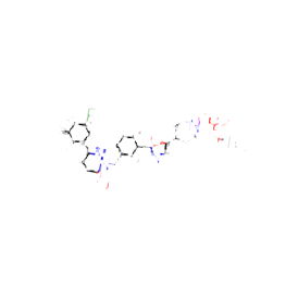 CC(C)(C)OC(=O)ON1CCC(c2cnc(-c3cccc(Cn4nc(-c5cc(F)cc(F)c5)ccc4=O)c3)o2)CC1